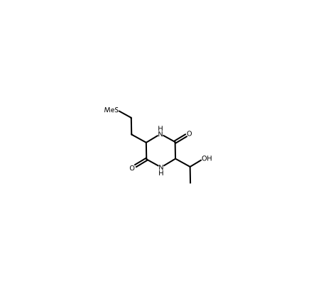 CSCCC1NC(=O)C(C(C)O)NC1=O